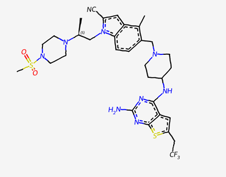 Cc1c(CN2CCC(Nc3nc(N)nc4sc(CC(F)(F)F)cc34)CC2)ccc2c1cc(C#N)n2C[C@H](C)N1CCN(S(C)(=O)=O)CC1